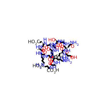 CSCC[C@H](NC(=O)[C@@H](N)CO)C(=O)N[C@@H](CCC(N)=O)C(=O)N[C@@H](C)C(=O)N[C@@H](CO)C(=O)N[C@@H](C)C(=O)N[C@@H](CCC(=O)O)C(=O)N[C@@H](C)C(=O)N[C@@H](CCC(=O)O)C(=O)N[C@@H](C)C(=O)N[C@@H](CCCCN)C(=O)NCC(=O)N[C@@H](CCCCN)C(=O)N[C@@H](C)C(=O)N[C@@H](CCC(=O)O)C(=O)O